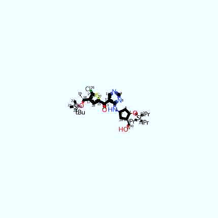 CC(C)[Si](O[C@H]1C[C@H](Nc2ncncc2C(=O)c2cc([C@@H](C)O[Si](C)(C)C(C)(C)C)c(Cl)s2)C[C@@H]1CO)(C(C)C)C(C)C